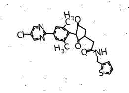 Cc1cc(-c2ncc(Cl)cn2)cc(C)c1C1C(=O)CC(CC(=O)NCc2cccs2)C1=O